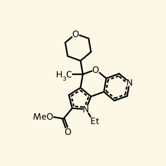 CCn1c(C(=O)OC)cc2c1-c1ccncc1OC2(C)C1CCOCC1